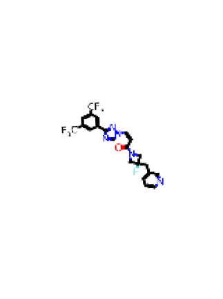 O=C(/C=C\n1cnc(-c2cc(C(F)(F)F)cc(C(F)(F)F)c2)n1)N1CC(F)(Cc2cccnc2)C1